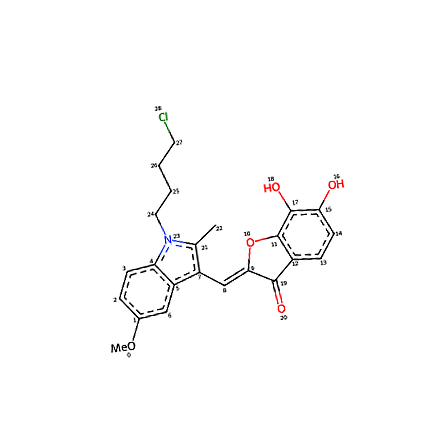 COc1ccc2c(c1)c(C=C1Oc3c(ccc(O)c3O)C1=O)c(C)n2CCCCCl